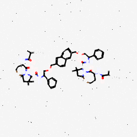 CNC(C)C(=O)N[C@H]1CCS[C@H]2CC(C)(C)[C@@H](C(=O)NC(COCc3ccc4cc(COCC(NC(=O)[C@H]5N6C(=O)[C@@H](NC(=O)C(C)NC)CCS[C@H]6CC5(C)C)c5ccccc5)ccc4c3)c3ccccc3)N2C1=O